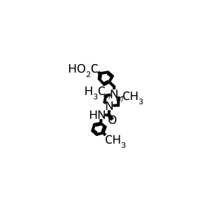 Cc1cccc(NC(=O)N2C[C@@H](C)N(Cc3ccc(C(=O)O)cc3)[C@@H](C)C2)c1